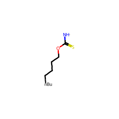 CCCCCCCCOC([NH])=S